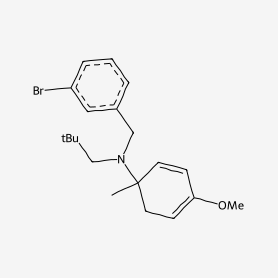 COC1=CCC(C)(N(Cc2cccc(Br)c2)CC(C)(C)C)C=C1